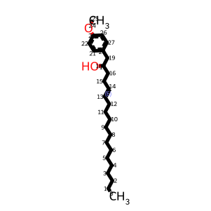 CCCCCCCCCCCCC/C=C/CCC(O)Cc1ccc(OC)cc1